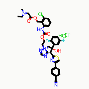 CCN(C)CC(=O)OCc1c(Cl)cccc1NC(=O)OCC[N+]1(C[C@](O)(c2cc(F)ccc2F)[C@@H](C)c2nc(-c3ccc(C#N)cc3)cs2)C=NC=N1.Cl.[Cl-]